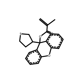 C=C(C)C(=O)OC1(C2CCSC2)c2ccccc2Oc2ccccc21